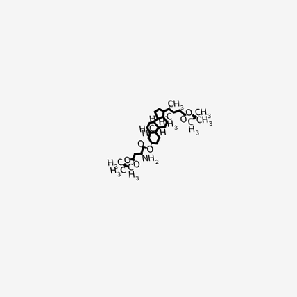 C[C@H](CCC(=O)OC(C)(C)C)C1CC[C@H]2[C@@H]3CC[C@@H]4C[C@@H](OC(=O)C(N)CC(=O)OC(C)(C)C)CC[C@]4(C)[C@H]3CC[C@]12C